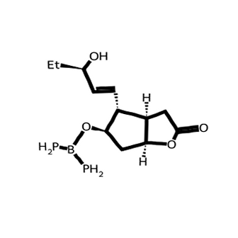 CC[C@@H](O)/C=C/[C@@H]1[C@H]2CC(=O)O[C@H]2C[C@H]1OB(P)P